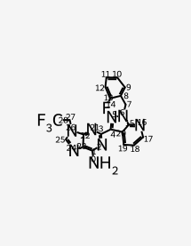 Nc1nc(-c2nn(Cc3ccccc3F)c3ncccc23)nc2c1ncn2CC(F)(F)F